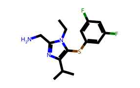 CCn1c(CN)nc(C(C)C)c1Sc1cc(F)cc(F)c1